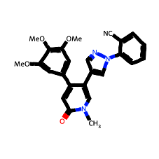 COc1cc(-c2cc(=O)n(C)cc2-c2cnn(-c3ccccc3C#N)c2)cc(OC)c1OC